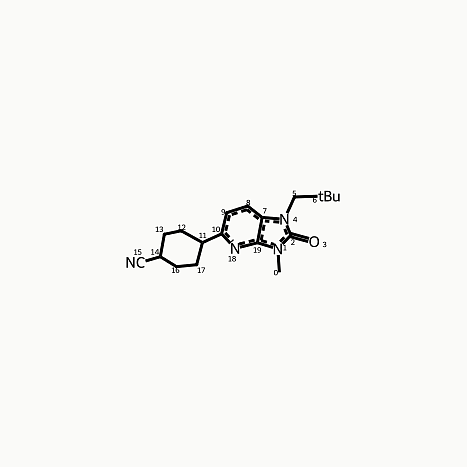 Cn1c(=O)n(CC(C)(C)C)c2ccc(C3CCC(C#N)CC3)nc21